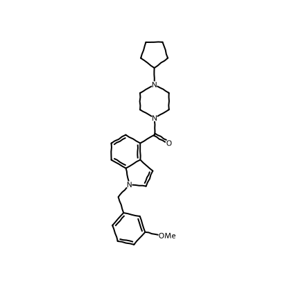 COc1cccc(Cn2ccc3c(C(=O)N4CCN(C5CCCC5)CC4)cccc32)c1